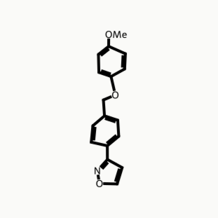 COc1ccc(OCc2ccc(-c3ccon3)cc2)cc1